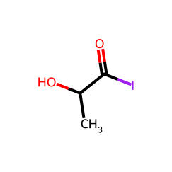 CC(O)C(=O)I